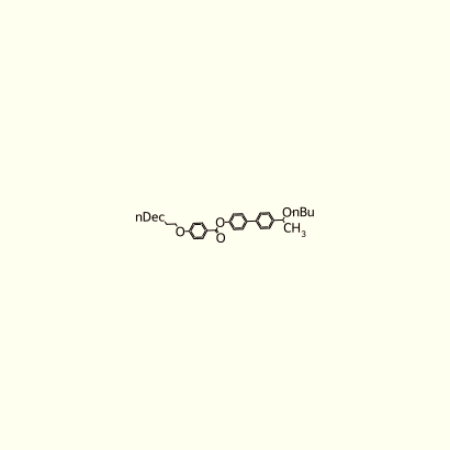 CCCCCCCCCCCCOc1ccc(C(=O)Oc2ccc(-c3ccc(C(C)OCCCC)cc3)cc2)cc1